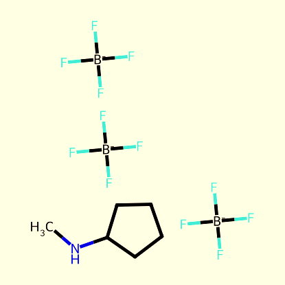 CNC1CCCC1.F[B-](F)(F)F.F[B-](F)(F)F.F[B-](F)(F)F